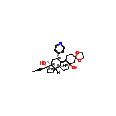 CC#C[C@]1(O)CC[C@H]2[C@@H]3CC[C@@]4(O)CC5(CCC4=C3[C@@H](c3ccncc3)C[C@@]21C)OCCO5